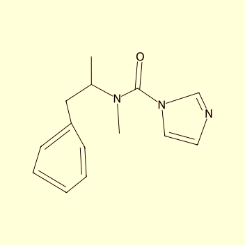 CC(Cc1ccccc1)N(C)C(=O)n1ccnc1